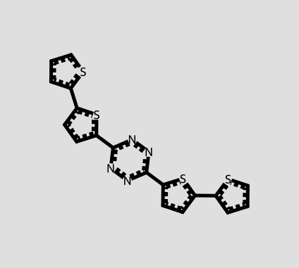 c1csc(-c2ccc(-c3nnc(-c4ccc(-c5cccs5)s4)nn3)s2)c1